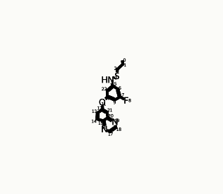 CCCSNc1cc(F)cc(Oc2ccc3nccnc3c2)c1